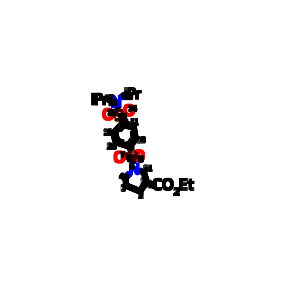 CCOC(=O)[C@@H]1CCCN(S(=O)(=O)c2ccc(S(=O)(=O)N(C(C)C)C(C)C)cc2)C1